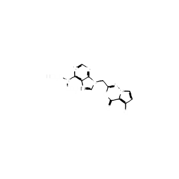 O=C(O)N(C(=O)O)c1ncnc2c1ncn2Cc1nn2ccc(Cl)c2c(=O)o1